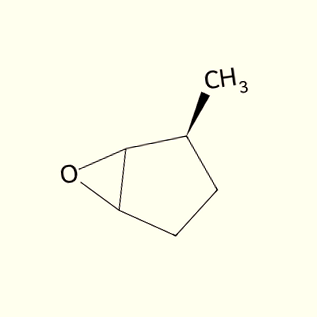 C[C@H]1CCC2OC21